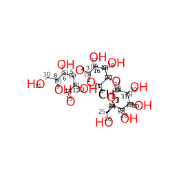 C[C@@H]1O[C@@H](O[C@@H]([C@@H](O)[C@H](O)CO)[C@@H](O)C=O)[C@H](O)[C@H](O)[C@H]1O[C@H]1O[C@H](CO)[C@@H](O)[C@H](O)[C@@H]1O